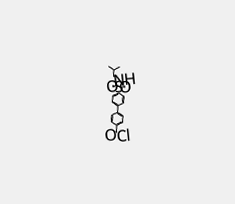 CC(C)CNS(=O)(=O)c1ccc(-c2ccc(C(=O)Cl)cc2)cc1